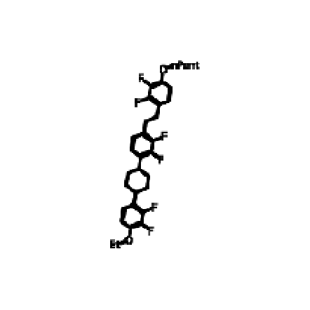 CCCCCOc1ccc(CCc2ccc(C3CCC(c4ccc(OCC)c(F)c4F)CC3)c(F)c2F)c(F)c1F